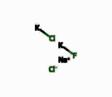 [Cl-].[Cl][K].[F][K].[Na+]